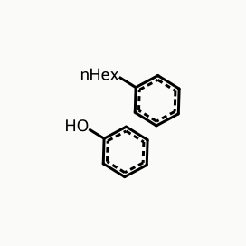 CCCCCCc1ccccc1.Oc1ccccc1